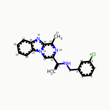 C=C(NCc1cccc(Cl)c1)c1cn2c(nc3ccccc32)c(C)n1